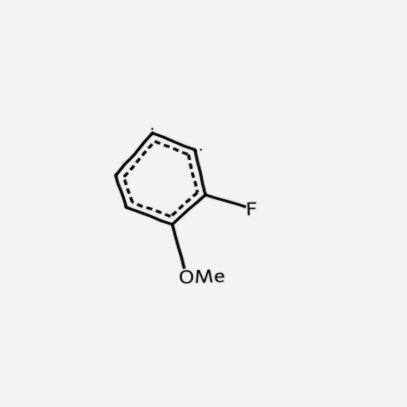 COc1cc[c][c]c1F